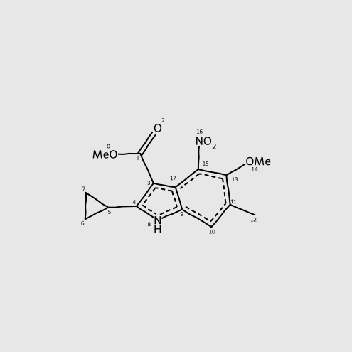 COC(=O)c1c(C2CC2)[nH]c2cc(C)c(OC)c([N+](=O)[O-])c12